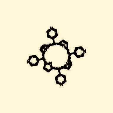 Cn1c2ccc1c(-c1ccncc1)c1nc(c(-c3ccncc3)c3ccc([nH]3)c(-c3ccncc3)c3nc(c2-c2ccncc2)C=C3)C=C1